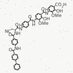 COc1c(NC(=O)c2ccc(NC(=O)c3ccc(NC(=O)[C@H](CC#N)NC(=O)c4ccc(NC(=O)c5ccc(-c6ccccc6)cc5)cc4)cc3)c(OC)c2O)ccc(C(=O)O)c1O